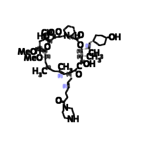 CO[C@H]1C[C@@H](C)C/C(C)=C/[C@@H](C/C=C/CCC(=O)N2CCNCC2)C(=O)C[C@H](O)[C@@H](C)[C@@H](/C(C)=C/[C@H]2CC[C@H](O)CC2)OC(=O)[C@@H]2CCCCN2C(=O)C(=O)[C@]2(O)O[C@H]1[C@@H](OC)C[C@H]2C